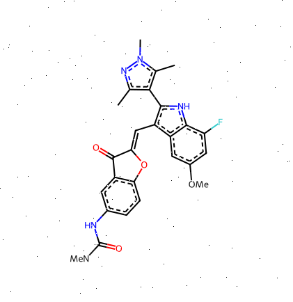 CNC(=O)Nc1ccc2c(c1)C(=O)/C(=C/c1c(-c3c(C)nn(C)c3C)[nH]c3c(F)cc(OC)cc13)O2